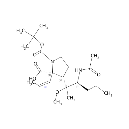 C/C=C\[C@]1(C(=O)O)[C@@H](C(C)(OC)[C@H](CCC)NC(C)=O)CCN1C(=O)OC(C)(C)C